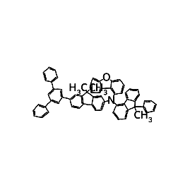 CC1(C)c2cc(-c3cc(-c4ccccc4)cc(-c4ccccc4)c3)ccc2-c2ccc(N(c3cccc4c3-c3ccccc3C4(C)c3ccccc3)c3cccc4oc5ccccc5c34)cc21